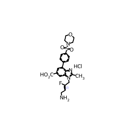 Cc1nc2c(-c3ccc(S(=O)(=O)N4CCOCC4)cc3)cc(C(=O)O)cc2n1C/C(F)=C/CN.Cl